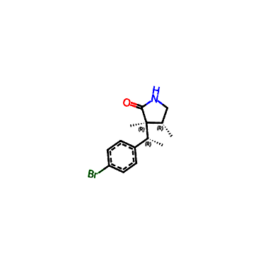 C[C@H](c1ccc(Br)cc1)[C@@]1(C)C(=O)NC[C@@H]1C